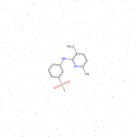 CS(=O)(=O)c1cccc(Nc2nc(C#N)ccc2C(=O)O)c1